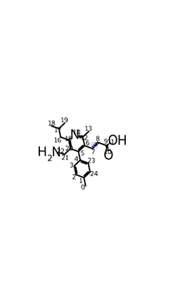 Cc1ccc(-c2c(/C=C/C(=O)O)c(C)nc(CC(C)C)c2CN)cc1